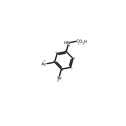 CC(=O)c1cc(NC(=O)O)ccc1Br